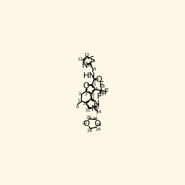 CC1Cc2oc(C(=O)NCc3nccs3)c(C(F)(F)F)c2-c2nn(C[C@H]3COCCO3)cc21